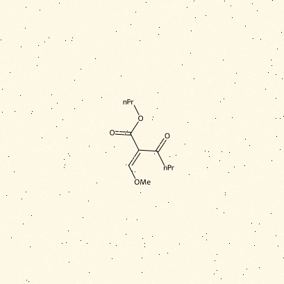 CCCOC(=O)C(=COC)C(=O)CCC